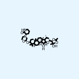 CC(=O)O[C@@H]([C@H]1C[C@@H](C)C2[C@H](O1)[C@H](O)[C@@]1(C)[C@@H]3CC[C@H]4C(C)(C)[C@@H](OC5CN(C6CCCNC6=O)CCO5)CC[C@@]45C[C@@]35CC[C@]21C)C(C)(C)O